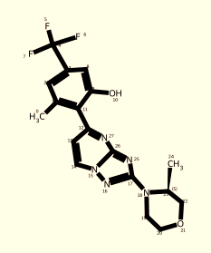 Cc1cc(C(F)(F)F)cc(O)c1-c1ccn2nc(N3CCOC[C@@H]3C)nc2n1